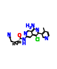 Cc1ccncc1-c1nc(N)c2cnc(NC(=O)[C@@H]3C[C@H]3CC#N)cc2c1Cl